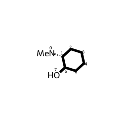 [CH2]N[C@@H]1CCCCC1O